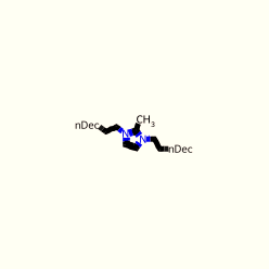 CCCCCCCCCCCCn1cc[n+](CCCCCCCCCCCC)c1C